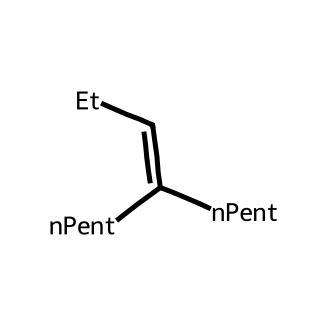 CCC=C(CCCCC)CCCCC